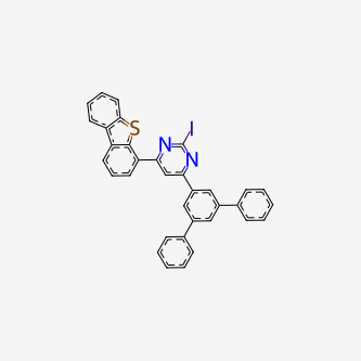 Ic1nc(-c2cc(-c3ccccc3)cc(-c3ccccc3)c2)cc(-c2cccc3c2sc2ccccc23)n1